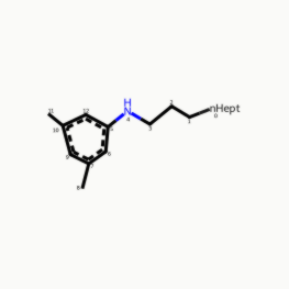 CCCCCCCCCCNc1cc(C)cc(C)c1